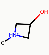 [CH2-][NH+]1CC(O)C1